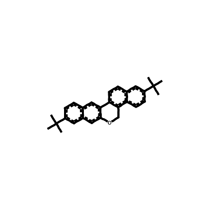 CC(C)(C)c1ccc2cc3c(cc2c1)OCc1c-3ccc2cc(C(C)(C)C)ccc12